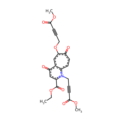 CCOC(=O)c1cc(=O)c2cc(OCC#CC(=O)OC)c(=O)ccc2n1CC#CC(=O)OC